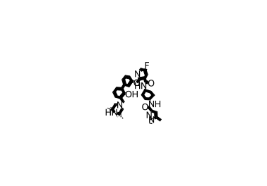 Cc1cc(C(=O)N[C@H]2CC[C@H](NC(=O)c3cc(F)cnc3Oc3cccc(-c4cccc(CN5C[C@@H](C)N[C@@H](C)C5)c4O)c3)CC2)nn1C